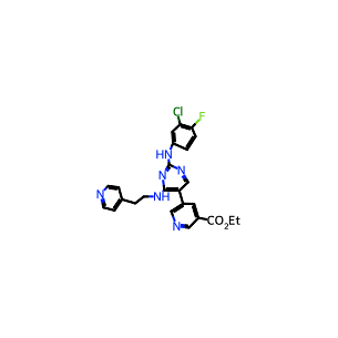 CCOC(=O)c1cncc(-c2cnc(Nc3ccc(F)c(Cl)c3)nc2NCCc2ccncc2)c1